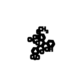 COc1ccc(/C(=C(\Cc2ccc3c(c2)OCO3)C(=O)O)c2ccccc2)c(OCC(=O)O)c1